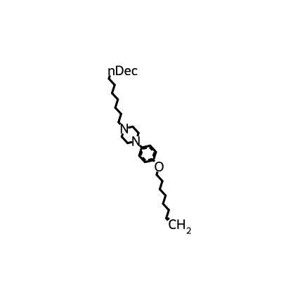 C=CCCCCCCOc1ccc(N2CCN(CCCCCCCCCCCCCCCCC)CC2)cc1